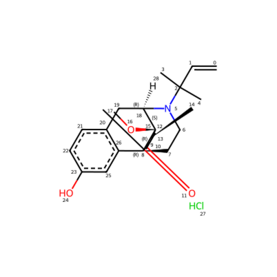 C=CC(C)(C)N1CC[C@]23CC(=O)C[C@@H](C)[C@@]2(OC)[C@H]1Cc1ccc(O)cc13.Cl